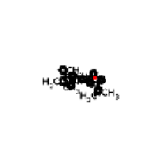 Cc1cc(C)cc(N(c2ccccc2C)c2ccc3c4cc5c(cc4n4c6ccccc6c2c34)c2ccc(N(c3cc(C)cc(C)c3)c3ccccc3C)c3c4ccccc4n5c23)c1